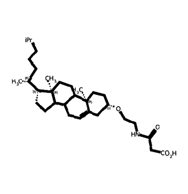 CC(C)CCC[C@@H](C)[C@H]1CCC2C3CC=C4C[C@@H](OCCNC(=O)CC(=O)O)CC[C@]4(C)C3CC[C@@]21C